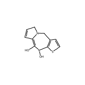 OC1=C2C=CCN2Cc2ccsc2N1O